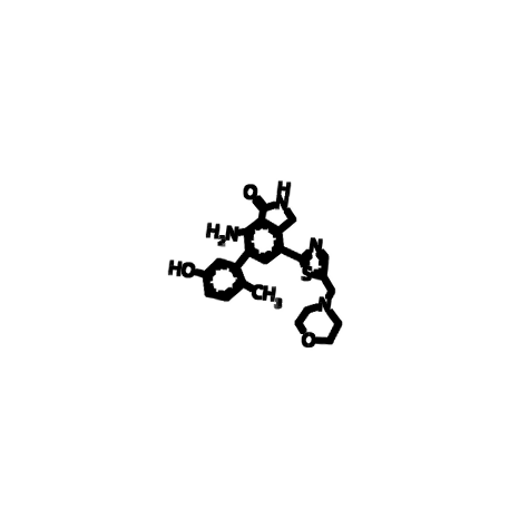 Cc1ccc(O)cc1-c1cc(-c2ncc(CN3CCOCC3)s2)c2c(c1N)C(=O)NC2